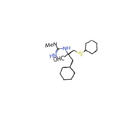 CNC(=N)NC(C=O)(CSC1CCCCC1)CC1CCCCC1